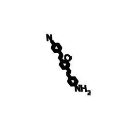 COc1cc(C=Cc2ccc(N)cc2)ccc1C=Cc1ccc(C#N)cc1